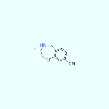 C[C@H]1COc2cc(C#N)ccc2CN1